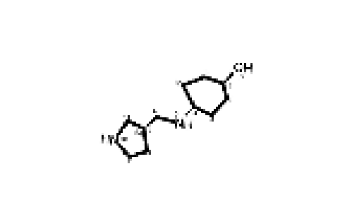 O[C@H]1CC[C@H](NC[C@H]2CCNC2)CC1